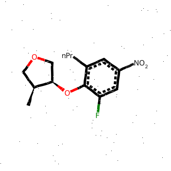 CCCc1cc([N+](=O)[O-])cc(F)c1O[C@@H]1COC[C@@H]1C